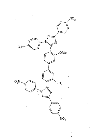 COc1cc(-c2ccc(-[n+]3nc(-c4ccc([N+](=O)[O-])cc4)nn3-c3ccc([N+](=O)[O-])cc3)c(C)c2)ccc1-[n+]1nc(-c2ccc([N+](=O)[O-])cc2)nn1-c1ccc([N+](=O)[O-])cc1